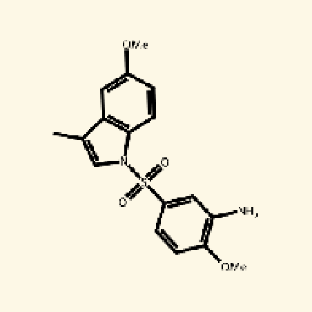 COc1ccc2c(c1)c(C)cn2S(=O)(=O)c1ccc(OC)c(N)c1